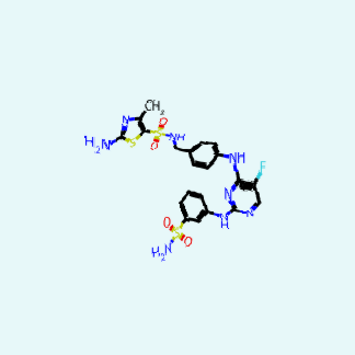 Cc1nc(N)sc1S(=O)(=O)NCc1ccc(Nc2nc(Nc3cccc(S(N)(=O)=O)c3)ncc2F)cc1